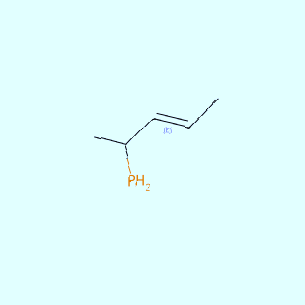 C/C=C/C(C)P